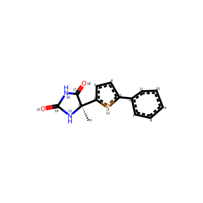 C[C@]1(c2ccc(-c3ccccc3)s2)NC(=O)NC1=O